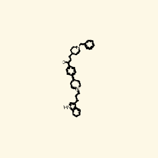 O=C(CCC1CCN(Cc2ccccc2)CC1)c1ccc(C2CCN(CCCc3c[nH]c4ccccc34)CC2)cc1